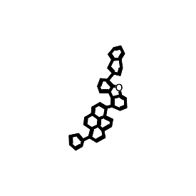 c1ccc(-c2ccc3ccc4c(-c5cccc6oc7c(-c8ccc9ccccc9c8)cccc7c56)ccc5ccc2c3c54)cc1